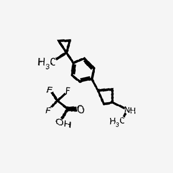 CNC1CC(c2ccc(C3(C)CC3)cc2)C1.O=C(O)C(F)(F)F